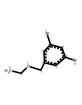 CCOCc1cc(Br)cc(Br)c1